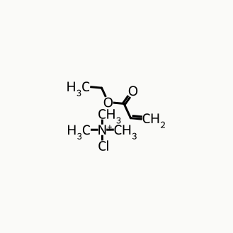 C=CC(=O)OCC.C[N+](C)(C)Cl